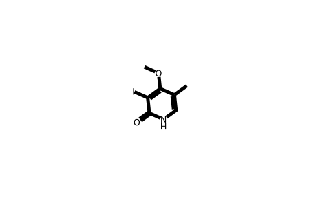 COc1c(C)c[nH]c(=O)c1I